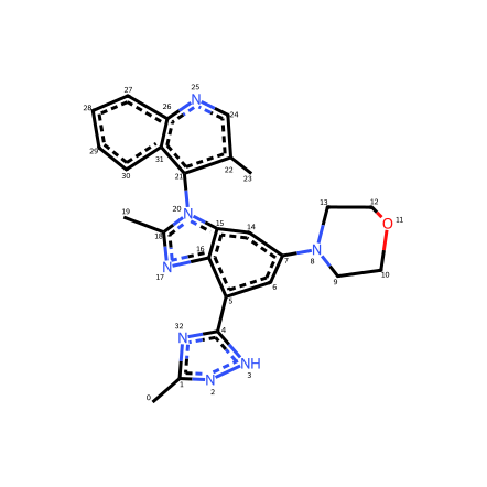 Cc1n[nH]c(-c2cc(N3CCOCC3)cc3c2nc(C)n3-c2c(C)cnc3ccccc23)n1